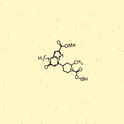 COC(=O)c1cc2n(C)c(=O)cc(C3CCN(C(=O)OC(C)(C)C)[C@H](C)C3)n2n1